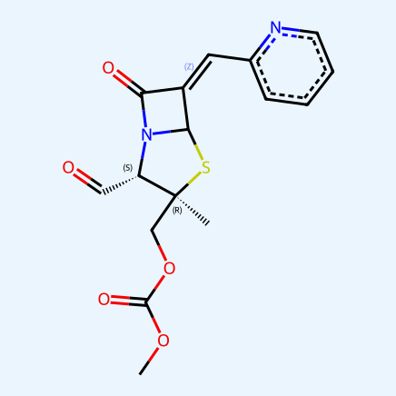 COC(=O)OC[C@]1(C)SC2/C(=C\c3ccccn3)C(=O)N2[C@H]1C=O